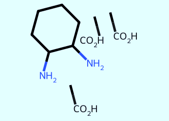 CC(=O)O.CC(=O)O.CC(=O)O.NC1CCCCC1N